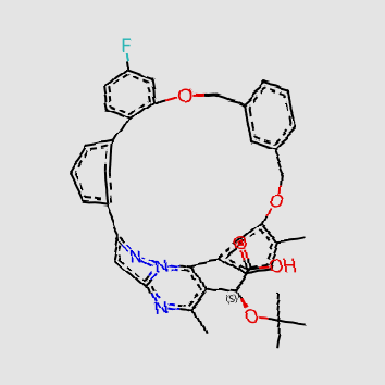 Cc1ccc2cc1OCc1cccc(c1)COc1cc(F)ccc1-c1cccc(c1)-c1cc3nc(C)c([C@H](OC(C)(C)C)C(=O)O)c-2n3n1